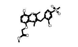 COC(=O)COc1ccc(Cl)c2nc(C)c(Cc3ccc(S(C)(=O)=O)cc3Cl)c(C)c12